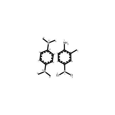 CCN(CC)c1ccc(N)c(C)c1.CN(C)c1ccc(N(C)C)cc1